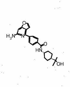 CC(C)(O)[C@H]1CC[C@H](NC(=O)c2ccc(-c3nc(N)cc4occc34)cc2)CC1